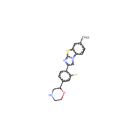 O=Cc1ccc2c(c1)sc1nc(-c3ccc(C4CNCCO4)cc3F)cn12